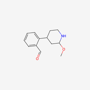 COC1CC(c2ccccc2C=O)CCN1